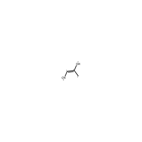 [C-]#[N+]/C=C(\C)O